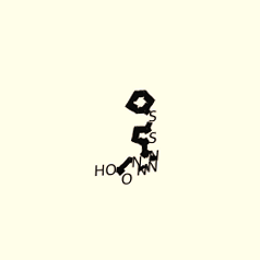 O=C(O)Cn1nnnc1-c1ccc(Sc2ccccc2)s1